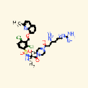 Cc1ccc2cccc(OCc3c(Cl)ccc(S(=O)(=O)NC(C)(C)C(=O)N4CCN(C(=O)C[C@@H](N)CCCNC(=N)N)CC4)c3Cl)c2n1